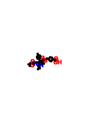 Cc1ccc(-c2c(CNC(=O)OC(C)(C)C)c(CC(C)C)nc(C)c2C(=O)OCC2CCC(C(=O)O)CC2)cc1